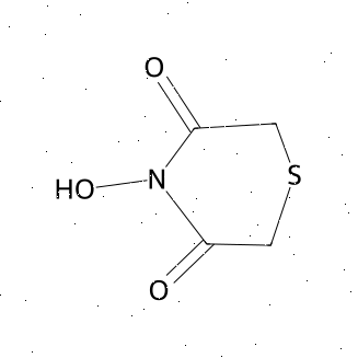 O=C1CSCC(=O)N1O